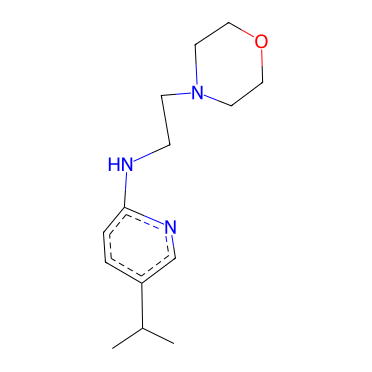 CC(C)c1ccc(NCCN2CCOCC2)nc1